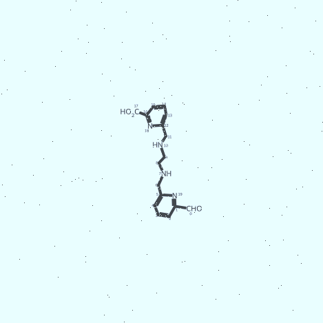 O=Cc1cccc(CNCCNCc2cccc(C(=O)O)n2)n1